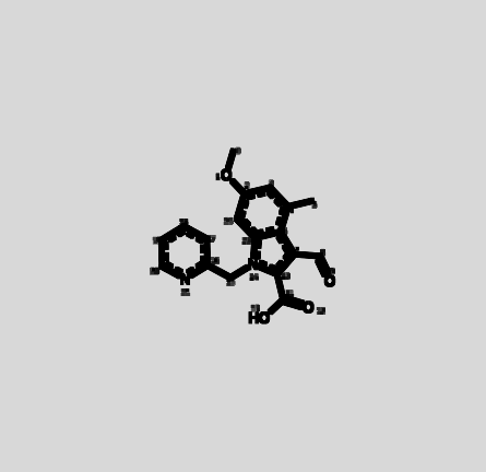 COc1cc(C)c2c(C=O)c(C(=O)O)n(Cc3ccccn3)c2c1